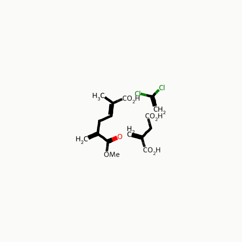 C=C(CC(=O)O)C(=O)O.C=C(CC=C(C)C(=O)O)C(=O)OC.C=C(Cl)Cl